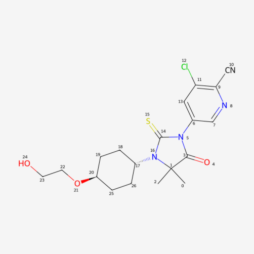 CC1(C)C(=O)N(c2cnc(C#N)c(Cl)c2)C(=S)N1[C@H]1CC[C@H](OCCO)CC1